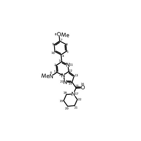 CNc1cc(-c2ccc(OC)cc2)nc2cc(C(=O)N3CCCCC3)nn12